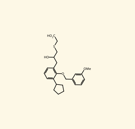 COc1cccc(COc2c(CC(O)CSCC(=O)O)cccc2C2CCCC2)c1